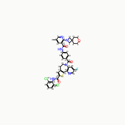 Cc1cnc(N2CC3(CCOCC3)C2)c(C(=O)Nc2ccc(C(=O)N3CCc4cc(C(=O)Nc5c(Cl)cccc5Cl)sc4-c4ncc(F)cc43)cc2)c1